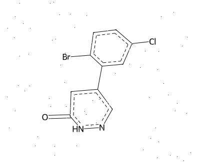 O=c1cc(-c2cc(Cl)ccc2Br)cn[nH]1